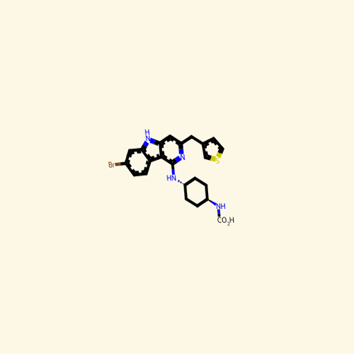 O=C(O)N[C@H]1CC[C@H](Nc2nc(Cc3ccsc3)cc3[nH]c4cc(Br)ccc4c23)CC1